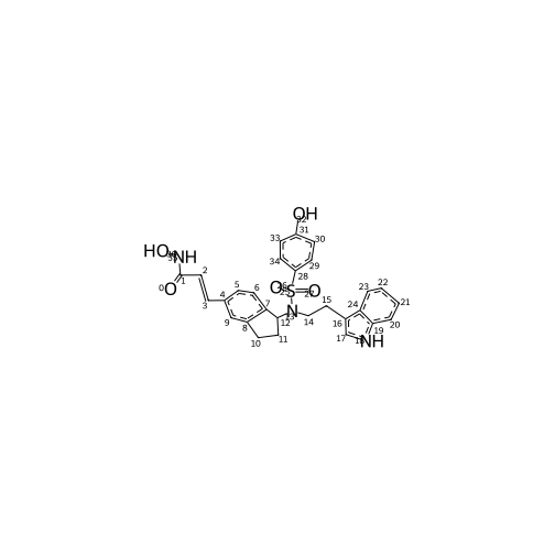 O=C(/C=C/c1ccc2c(c1)CCC2N(CCc1c[nH]c2ccccc12)S(=O)(=O)c1ccc(O)cc1)NO